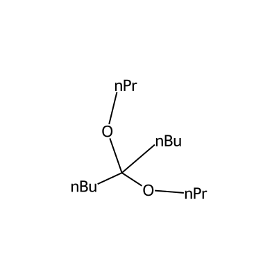 CCCCC(CCCC)(OCCC)OCCC